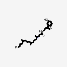 C/C(=C\CC(=O)NCCc1coc2ccc(O)cc12)CCCC(C)CCCC(C)CCCC(C)C